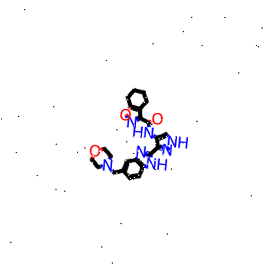 O=C(Nc1c[nH]nc1-c1nc2cc(CN3CCOCC3)ccc2[nH]1)c1noc2c1CCCC2